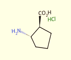 Cl.N[C@H]1CCC[C@@H]1C(=O)O